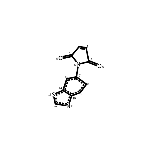 O=C1C=CC(=O)N1c1ccc2ncsc2c1